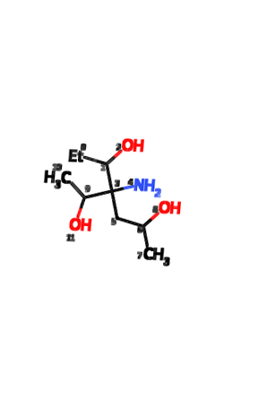 CCC(O)C(N)(CC(C)O)C(C)O